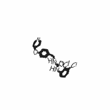 O=C(NCc1ccc(Oc2ccncc2)cc1)Nc1cccc(Cl)c1Cl